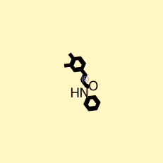 Cc1ccc(/C=C/C(=O)Nc2ccccc2)cc1C